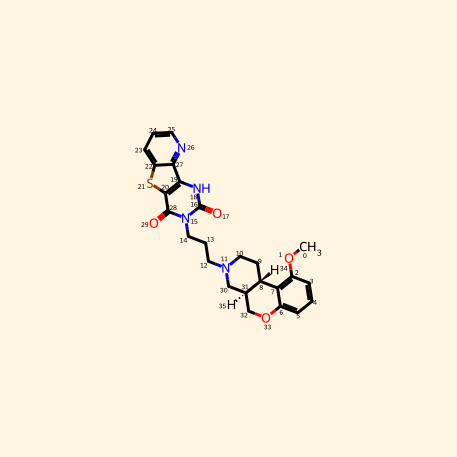 COc1cccc2c1[C@H]1CCN(CCCn3c(=O)[nH]c4c(sc5cccnc54)c3=O)C[C@@H]1CO2